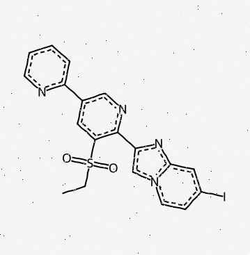 CCS(=O)(=O)c1cc(-c2ccccn2)cnc1-c1cn2ccc(I)cc2n1